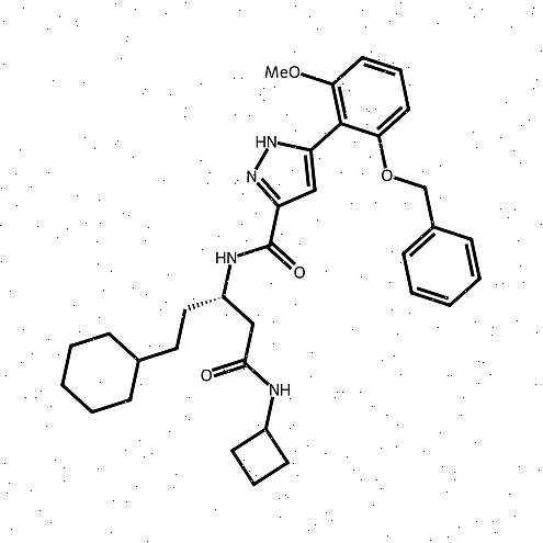 COc1cccc(OCc2ccccc2)c1-c1cc(C(=O)N[C@@H](CCC2CCCCC2)CC(=O)NC2CCC2)n[nH]1